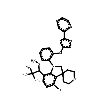 COC(c1ccc(Cl)c2c1N(c1ccccc1Nc1nnc(-c3cnccn3)s1)CC21CCNCC1)C(C)(C)C